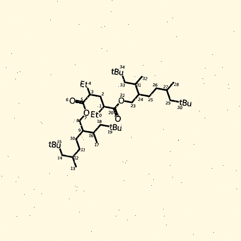 CCC(CC(CC)C(=O)OCC(CCC(C)CC(C)(C)C)C(C)CC(C)(C)C)C(=O)OCC(CCC(C)CC(C)(C)C)C(C)CC(C)(C)C